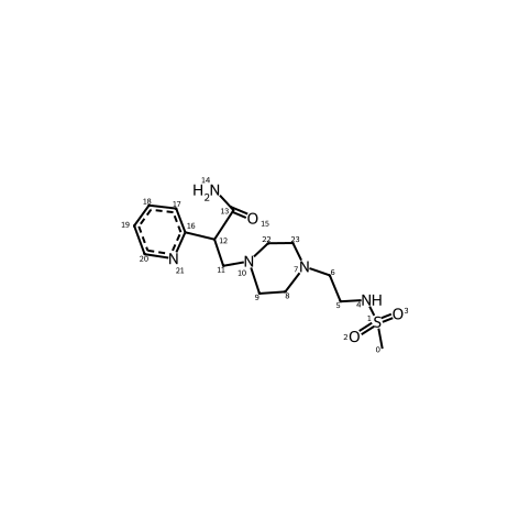 CS(=O)(=O)NCCN1CCN(CC(C(N)=O)c2ccccn2)CC1